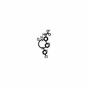 COC(=O)Nc1ccc2c(c1)NC(=O)CCC/C=C(/c1ccc(Cl)cn1)c1ccnc-2c1